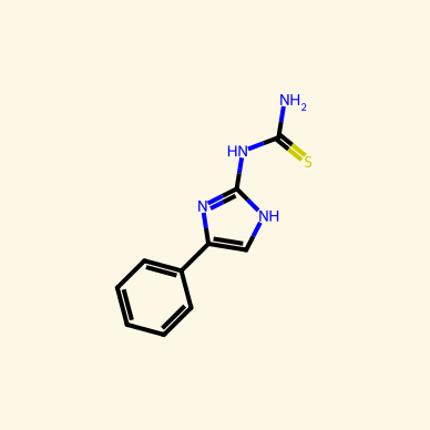 NC(=S)Nc1nc(-c2ccccc2)c[nH]1